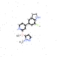 Cn1nccc1B(C#N)c1cc(-c2cc(F)c3c(c2)CCN3)ccn1